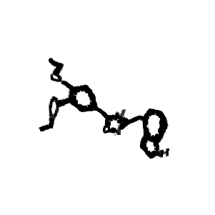 CCOc1ccc(-c2nc(-c3cccc4[nH]ccc34)no2)cc1OCC